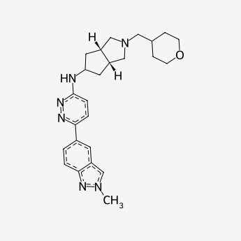 Cn1cc2cc(-c3ccc(NC4C[C@@H]5CN(CC6CCOCC6)C[C@@H]5C4)nn3)ccc2n1